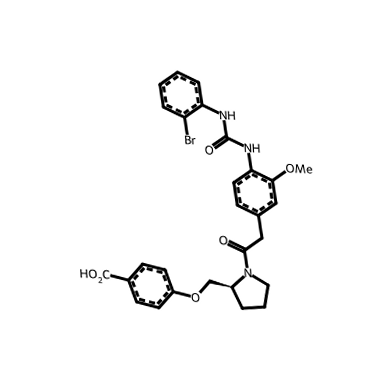 COc1cc(CC(=O)N2CCC[C@H]2COc2ccc(C(=O)O)cc2)ccc1NC(=O)Nc1ccccc1Br